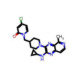 Cc1nccc2nc(NC3CC3)c(N3CCC(Cn4ccc(Cl)cc4=O)CC3)nc12